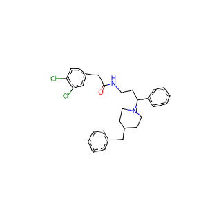 O=C(Cc1ccc(Cl)c(Cl)c1)NCCC(c1ccccc1)N1CCC(Cc2ccccc2)CC1